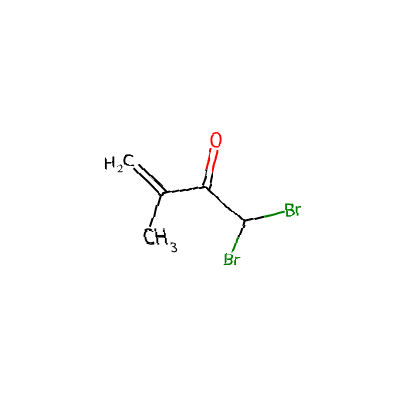 C=C(C)C(=O)C(Br)Br